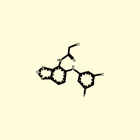 O=C(CCl)Nc1c(Nc2cc(F)cc(Cl)c2)ccc2nonc12